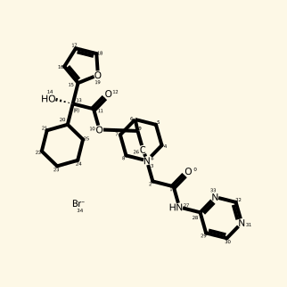 O=C(C[N+]12CCC(CC1)C(OC(=O)[C@](O)(c1ccco1)C1CCCCC1)C2)Nc1ccncn1.[Br-]